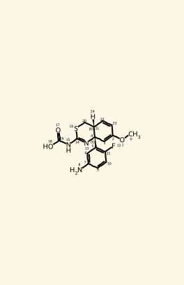 COC1=C[C@]2(c3cc(N)ccc3F)N=C(NC(=O)O)SC[C@@H]2C=C1